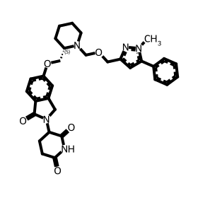 Cn1nc(COCN2CCCC[C@H]2COc2ccc3c(c2)CN(C2CCC(=O)NC2=O)C3=O)cc1-c1ccccc1